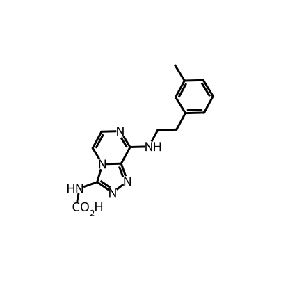 Cc1cccc(CCNc2nccn3c(NC(=O)O)nnc23)c1